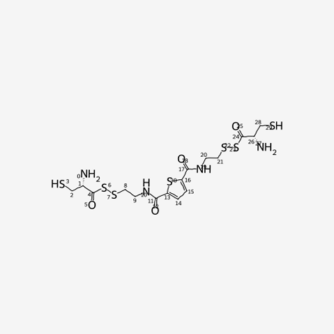 N[C@@H](CS)C(=O)SSCCNC(=O)c1ccc(C(=O)NCCSSC(=O)[C@@H](N)CS)s1